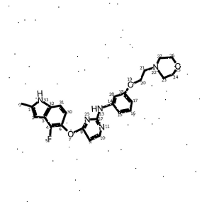 Cc1cc2c(F)c(Oc3ccnc(Nc4cccc(OCCN5CCOCC5)c4)n3)ccc2[nH]1